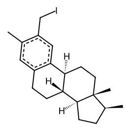 Cc1cc2c(cc1CI)[C@H]1CC[C@]3(C)[C@@H](C)CC[C@H]3[C@@H]1CC2